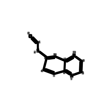 O=CSc1ccc2n[c]cnc2c1